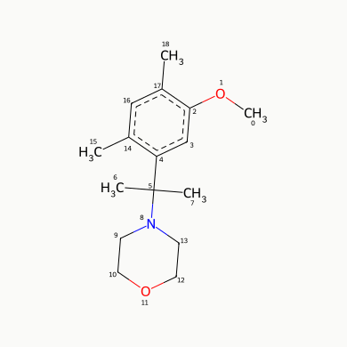 COc1cc(C(C)(C)N2CCOCC2)c(C)cc1C